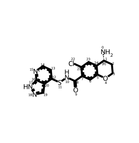 N[C@@H]1CCOc2cc(C(=O)NSc3ccnc4[nH]ncc34)c(Cl)cc21